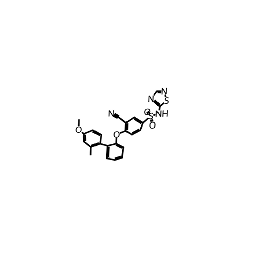 COc1ccc(-c2ccccc2Oc2ccc(S(=O)(=O)Nc3ncns3)cc2C#N)c(C)c1